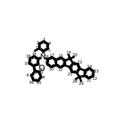 Cc1ccccc1N(c1ccc2cc3c(cc2c1)C(C)(C)c1cc2c(cc1-3)C(C)(C)c1ccccc1-2)c1cccc2c1oc1ccccc12